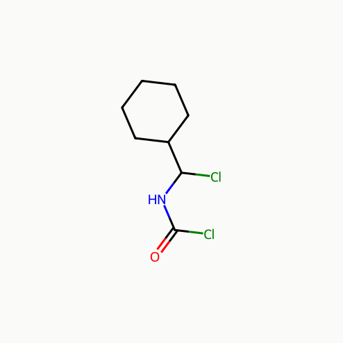 O=C(Cl)NC(Cl)C1CCCCC1